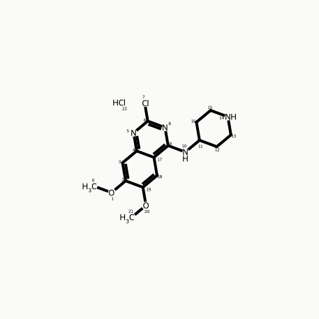 COc1cc2nc(Cl)nc(NC3CCNCC3)c2cc1OC.Cl